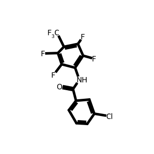 O=C(Nc1c(F)c(F)c(C(F)(F)F)c(F)c1F)c1cccc(Cl)c1